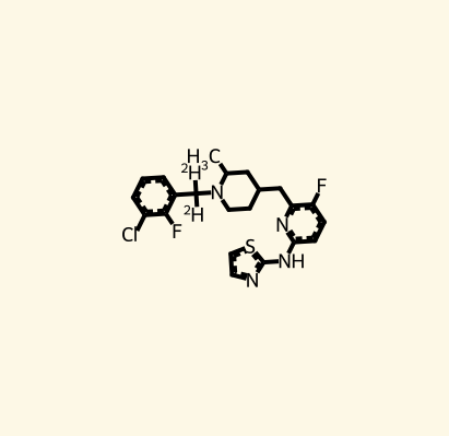 [2H]C([2H])(c1cccc(Cl)c1F)N1CCC(Cc2nc(Nc3nccs3)ccc2F)CC1C